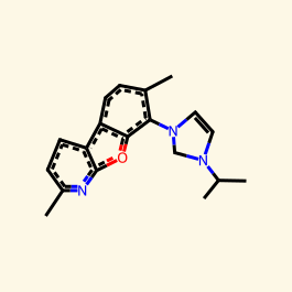 Cc1ccc2c(n1)oc1c(N3C=CN(C(C)C)C3)c(C)ccc12